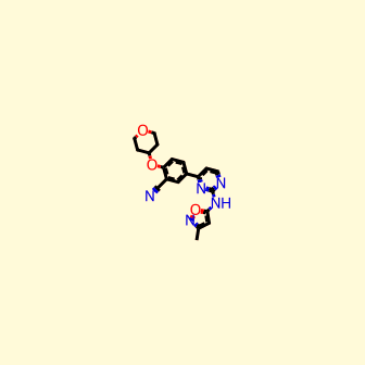 Cc1cc(Nc2nccc(-c3ccc(OC4CCOCC4)c(C#N)c3)n2)on1